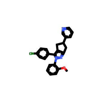 COc1ccccc1-n1nc2c(c1-c1ccc(Cl)cc1)CC(c1cccnc1)C2